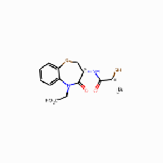 CC[C@H](C)[C@H](S)C(=O)N[C@H]1CSc2ccccc2N(CC(=O)O)C1=O